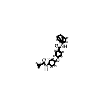 O=C(NC1C2CC3CC(C2)CC1C3)c1ccc(OC2CCC(NC(=O)C3CC3)CC2)cc1